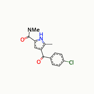 CNC(=O)c1cc(C(=O)c2ccc(Cl)cc2)c(C)[nH]1